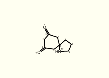 O=C1CC(=O)CC2(CCCN2)C1